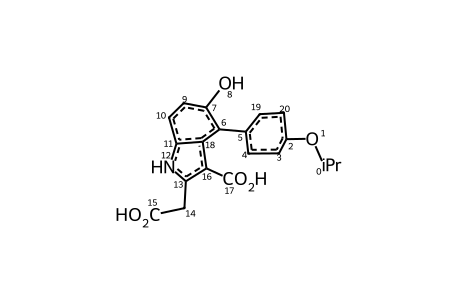 CC(C)Oc1ccc(-c2c(O)ccc3[nH]c(CC(=O)O)c(C(=O)O)c23)cc1